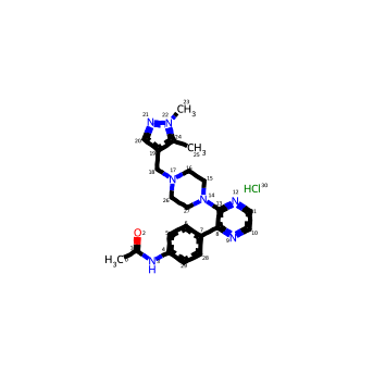 CC(=O)Nc1ccc(-c2nccnc2N2CCN(Cc3cnn(C)c3C)CC2)cc1.Cl